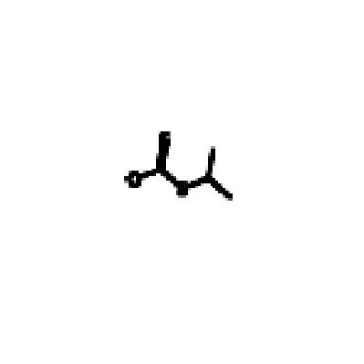 CC(C)SC([O])=S